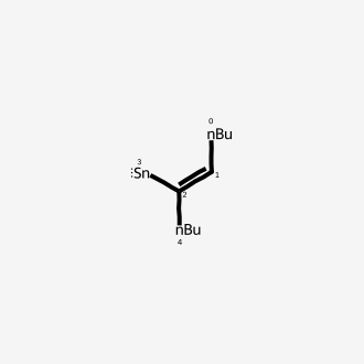 CCCCC=[C]([Sn])CCCC